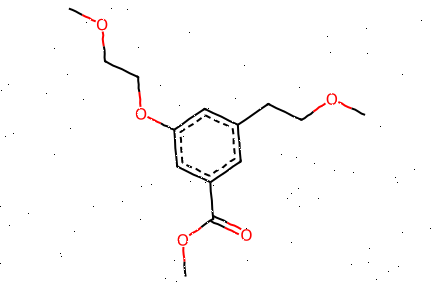 COCCOc1cc(CCOC)cc(C(=O)OC)c1